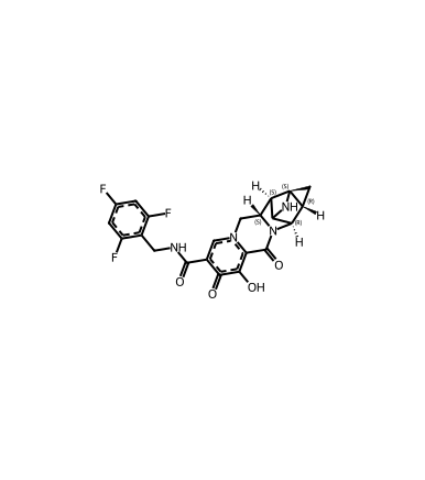 O=C(NCc1c(F)cc(F)cc1F)c1cn2c(c(O)c1=O)C(=O)N1[C@H](C2)[C@@H]2C3N[C@]24C[C@@H]4[C@H]31